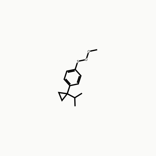 COOSc1ccc(C2(C(C)C)CC2)cc1